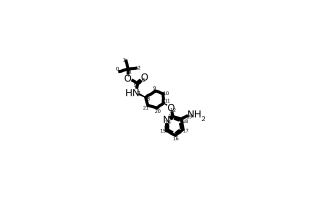 CC(C)(C)OC(=O)N[C@H]1CC[C@H](Oc2ncccc2N)CC1